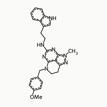 COc1ccc(CN2CCc3nn(C)c4nc(NCCc5c[nH]c6ccccc56)nc2c34)cc1